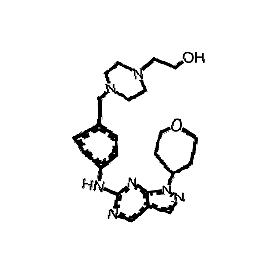 OCCN1CCN(Cc2ccc(Nc3ncc4cnn(C5CCOCC5)c4n3)cc2)CC1